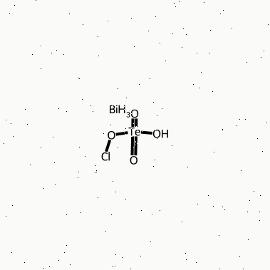 O=[Te](=O)(O)OCl.[BiH3]